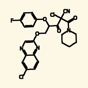 N#CC(Cl)(C(=O)C(COc1cnc2cc(Cl)ccc2n1)Oc1ccc(F)cc1)C(=O)N1CCCCC1